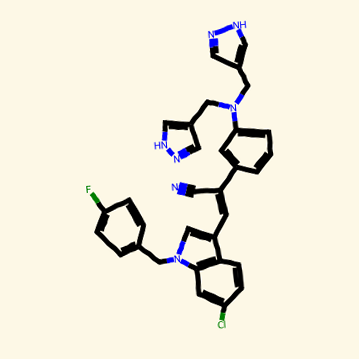 N#C/C(=C\c1cn(Cc2ccc(F)cc2)c2cc(Cl)ccc12)c1cccc(N(Cc2cn[nH]c2)Cc2cn[nH]c2)c1